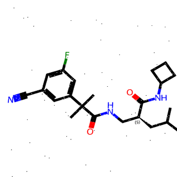 CC(C)C[C@@H](CNC(=O)C(C)(C)c1cc(F)cc(C#N)c1)C(=O)NC1CCC1